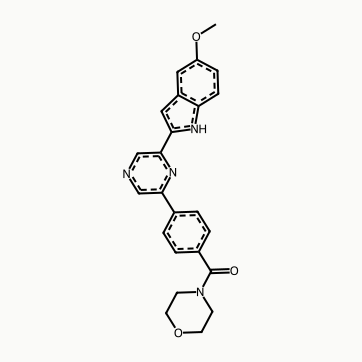 COc1ccc2[nH]c(-c3cncc(-c4ccc(C(=O)N5CCOCC5)cc4)n3)cc2c1